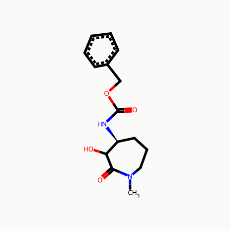 CN1CCC[C@H](NC(=O)OCc2ccccc2)C(O)C1=O